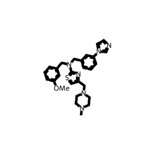 COc1cccc(CN(Cc2cccc(-n3ccnc3)c2)c2nc(CN3CCN(C)CC3)cs2)c1